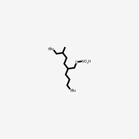 CC(CCC(CCCC(C)(C)C)COS(=O)(=O)O)CC(C)(C)C